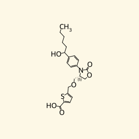 CCCCCC(O)c1ccc(N2C(=O)OC[C@@H]2COCc2ccc(C(=O)O)s2)cc1